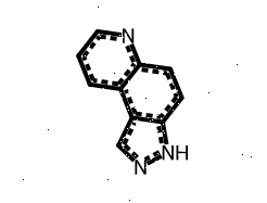 c1cnc2ccc3[nH]ncc3c2c1